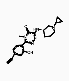 C#Cc1ccc(-c2nnc(N[C@@H]3CCCN(C4CC4)C3)c(=O)n2C)c(O)c1